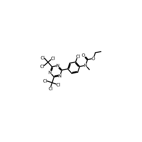 CCOC(=O)N(C)c1ccc(-c2nc(C(Cl)(Cl)Cl)nc(C(Cl)(Cl)Cl)n2)cc1Cl